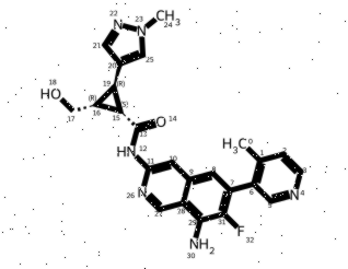 Cc1ccncc1-c1cc2cc(NC(=O)[C@@H]3[C@H](CO)[C@H]3c3cnn(C)c3)ncc2c(N)c1F